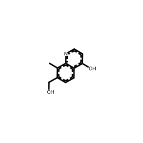 Cc1c(CO)ccc2c(O)ccnc12